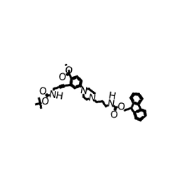 COC(=O)c1ccc(N2CCN(CCCNC(=O)OCC3c4ccccc4-c4ccccc43)CC2)cc1C#CCNC(=O)OC(C)(C)C